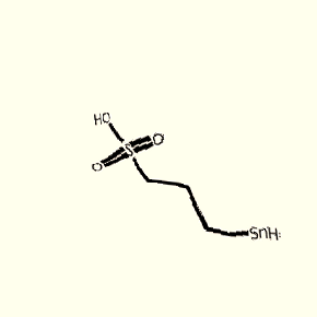 O=S(=O)(O)CC[CH2][SnH]